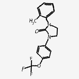 Cc1ccccc1N1CCN(c2ccc(OC(F)(F)F)cc2)C1=O